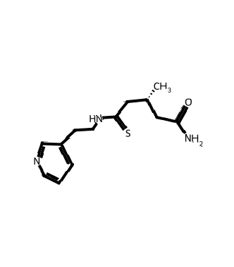 C[C@@H]([CH]C(=S)NCCc1cccnc1)CC(N)=O